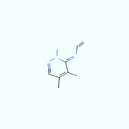 C=C/N=c1/c(I)c(C)cnn1N